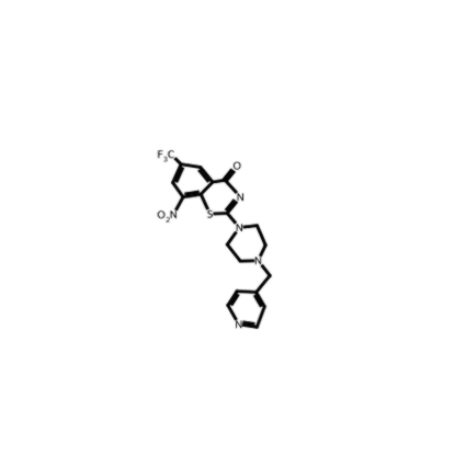 O=c1nc(N2CCN(Cc3ccncc3)CC2)sc2c([N+](=O)[O-])cc(C(F)(F)F)cc12